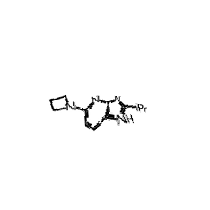 CC(C)c1nc2nc(N3CCC3)ccc2[nH]1